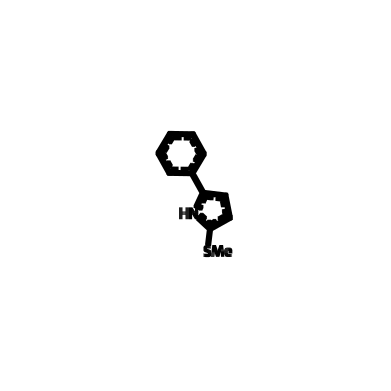 CSc1ccc(-c2ccccc2)[nH]1